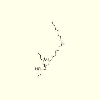 CCCCCCCC/C=C\CCCCCCCCN(CC(O)CCC)CC(O)CCC